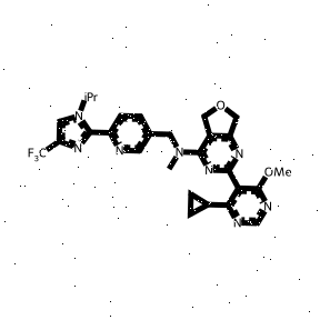 COc1ncnc(C2CC2)c1-c1nc2c(c(N(C)Cc3ccc(-c4nc(C(F)(F)F)cn4C(C)C)nc3)n1)COC2